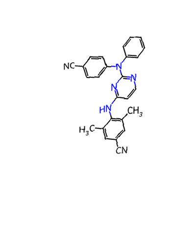 Cc1cc(C#N)cc(C)c1Nc1ccnc(N(c2ccccc2)c2ccc(C#N)cc2)n1